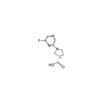 O=C(O)[C@H]1CCN(c2cncc(F)n2)C1